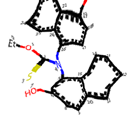 CCOC(=S)N(c1c(O)ccc2ccccc12)c1ccc(O)c2ccccc12